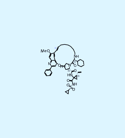 C=C[C@@H]1C[C@]1(NC(=O)[C@@H]1C[C@@H]2CN1C(=O)[C@H](C1CCCCC1)NCCCCCC/C=C/c1cc3c(cc(-c4ccccc4)nc3cc1OC)O2)C(=O)NS(=O)(=O)C1CC1